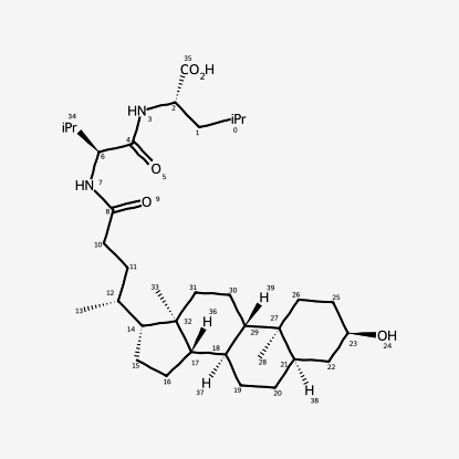 CC(C)C[C@H](NC(=O)[C@@H](NC(=O)CC[C@@H](C)[C@H]1CC[C@H]2[C@@H]3CC[C@@H]4C[C@H](O)CC[C@]4(C)[C@H]3CC[C@]12C)C(C)C)C(=O)O